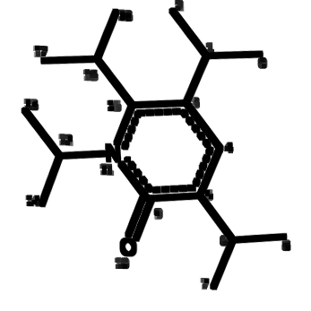 CC(C)c1cc(C(C)C)c(=O)n(C(C)C)c1C(C)C